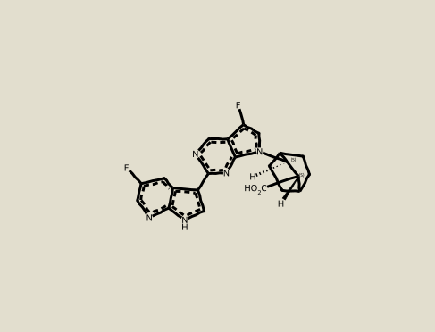 O=C(O)[C@H]1C2CCC(CC2)[C@@H]1n1cc(F)c2cnc(-c3c[nH]c4ncc(F)cc34)nc21